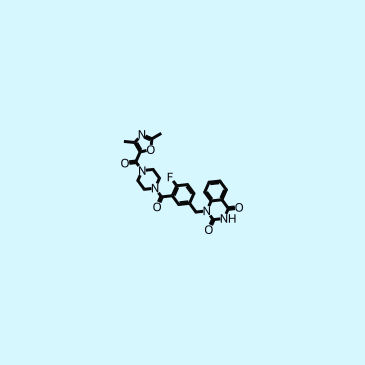 Cc1nc(C)c(C(=O)N2CCN(C(=O)c3cc(Cn4c(=O)[nH]c(=O)c5ccccc54)ccc3F)CC2)o1